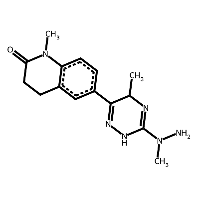 CC1N=C(N(C)N)NN=C1c1ccc2c(c1)CCC(=O)N2C